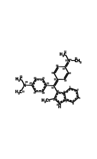 Cc1[nH]c2ccccc2c1C(=C1C=CC(=[N+](C)C)C=C1)c1ccc(N(C)C)cc1